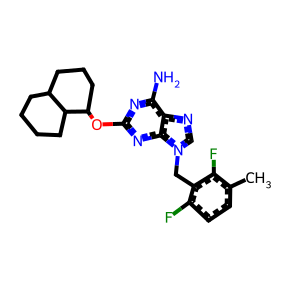 Cc1ccc(F)c(Cn2cnc3c(N)nc(OC4CCCC5CCCCC54)nc32)c1F